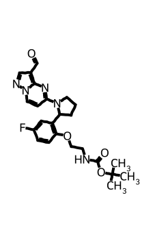 CC(C)(C)OC(=O)NCCOc1ccc(F)cc1C1CCCN1c1ccn2ncc(C=O)c2n1